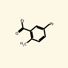 CCC(=O)c1cc(C(C)C)ccc1C